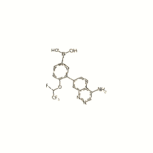 Nc1cnnc2cc(-c3cc(B(O)O)ccc3OC(F)C(F)(F)F)ccc12